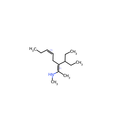 CC/C=C\C/C(=C(/C)NC)C(CC)CC